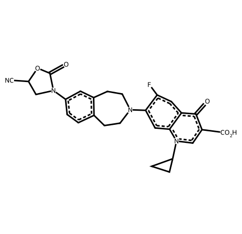 N#CC1CN(c2ccc3c(c2)CCN(c2cc4c(cc2F)c(=O)c(C(=O)O)cn4C2CC2)CC3)C(=O)O1